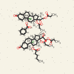 CCC(=O)OCC(=O)[C@@]1(OC(=O)CC)[C@@H](C)C[C@H]2[C@@H]3CCC4=CC(=O)C=C[C@]4(C)C3(F)[C@@H](OC(=O)c3ccccc3)C[C@@]21C.CCCCC(=O)O[C@H]1C[C@@]2(C)[C@@H](C[C@H](C)[C@]2(OC(=O)CC)C(=O)COC(=O)CC)[C@@H]2CCC3=CC(=O)C=C[C@]3(C)C12F